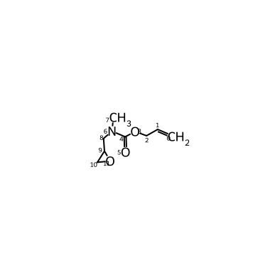 C=CCOC(=O)N(C)CC1CO1